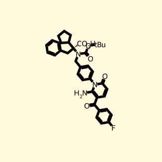 CC(C)(C)OC(=O)N(Cc1ccc(-n2c(N)c(C(=O)c3ccc(F)cc3)ccc2=O)cc1)[C@](Cc1ccccc1)(C(=O)O)C1CCCC1